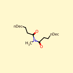 CCCCCCCCCCCCC(=O)N(C)C(=O)CCCCCCCCCCCC